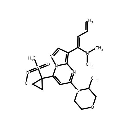 C=C/C=C(/c1cnn2c(C3(S(C)(=O)=NC)CC3)cc(N3CCOCC3C)nc12)N(C)C